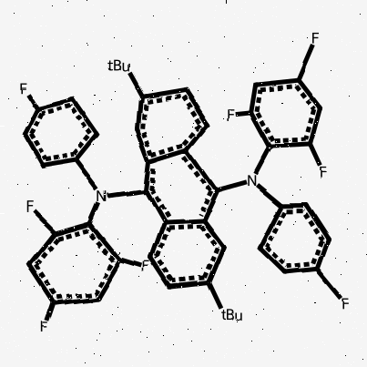 CC(C)(C)c1ccc2c(N(c3ccc(F)cc3)c3c(F)cc(F)cc3F)c3cc(C(C)(C)C)ccc3c(N(c3ccc(F)cc3)c3c(F)cc(F)cc3F)c2c1